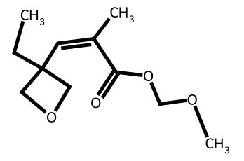 CCC1(C=C(C)C(=O)OCOC)COC1